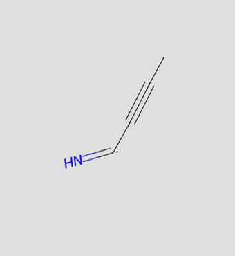 CC#C[C]=N